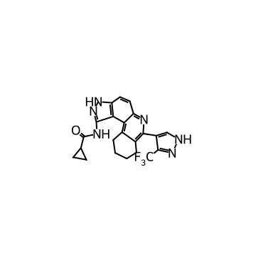 O=C(Nc1n[nH]c2ccc3nc(-c4c[nH]nc4C(F)(F)F)c4c(c3c12)CCCC4)C1CC1